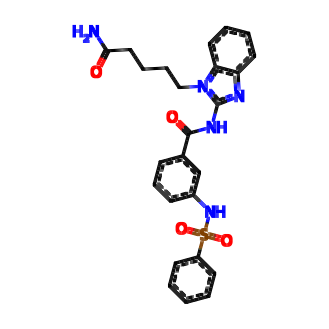 NC(=O)CCCCn1c(NC(=O)c2cccc(NS(=O)(=O)c3ccccc3)c2)nc2ccccc21